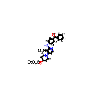 CCOC(=O)OC1CCN(c2ccnc(Nc3ccc(C(=O)c4ccccc4)cc3)c2[N+](=O)[O-])CC1